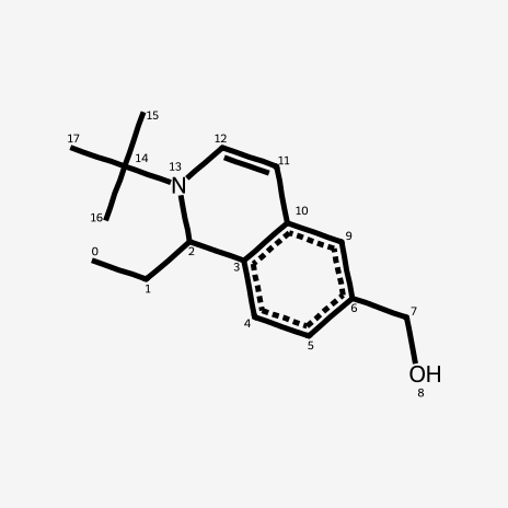 CCC1c2ccc(CO)cc2C=CN1C(C)(C)C